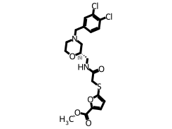 COC(=O)c1ccc(SCC(=O)NC[C@H]2CN(Cc3ccc(Cl)c(Cl)c3)CCO2)o1